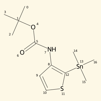 CC(C)(C)OC(=O)Nc1ccs[c]1[Sn]([CH3])([CH3])[CH3]